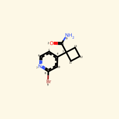 NC(=O)C1(c2ccnc(Br)c2)CCC1